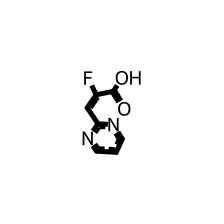 O=C(O)/C(F)=C\c1ncccn1